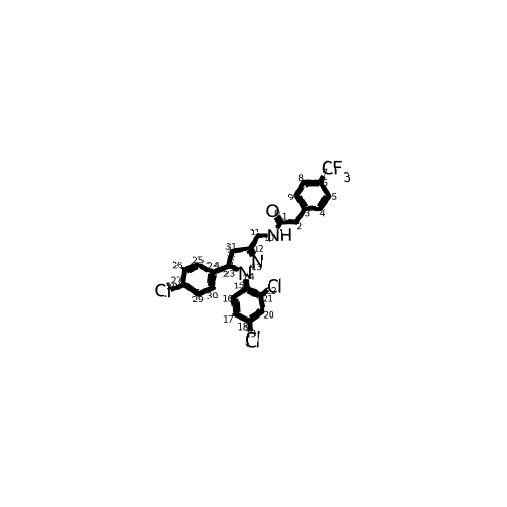 O=C(Cc1ccc(C(F)(F)F)cc1)NCC1=NN(c2ccc(Cl)cc2Cl)C(c2ccc(Cl)cc2)C1